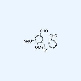 COc1cc(C=O)cc(I)c1OC.O=Cc1cccc(Br)c1